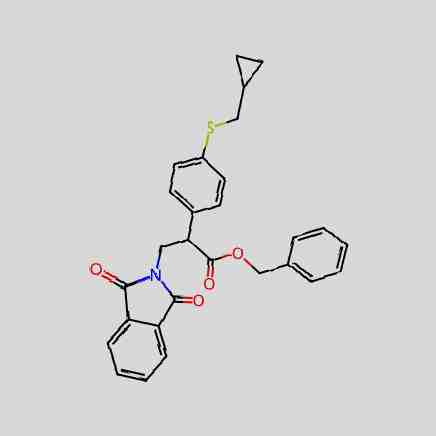 O=C(OCc1ccccc1)C(CN1C(=O)c2ccccc2C1=O)c1ccc(SCC2CC2)cc1